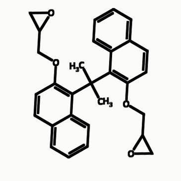 CC(C)(c1c(OCC2CO2)ccc2ccccc12)c1c(OCC2CO2)ccc2ccccc12